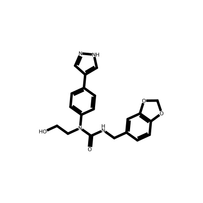 O=C(NCc1ccc2c(c1)OCO2)N(CCO)c1ccc(-c2cn[nH]c2)cc1